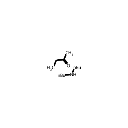 CCC(C)=O.CCCCNCCCC